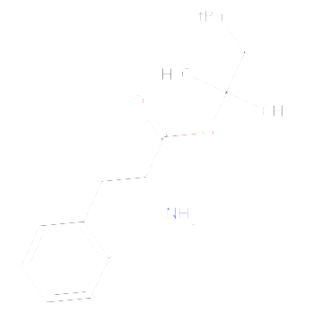 CC(C)(C)CC(C)(C)OC(=O)[C@H](N)Cc1ccccc1